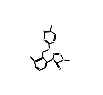 Cc1cnc(OCc2c(C)cccc2-n2nnn(C)c2=O)nn1